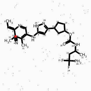 C\C=C(C#N)/N=C\C(Nc1cc(C2CCC(OC(=O)NC(C)CC(F)(F)P)C2)n[nH]1)=C(\C)CC